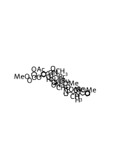 C#CCOc1cc(O[C@H]2C[C@@H](OC(C)=O)C[C@@H](C(=O)OC)O2)ccc1COC(=O)N(C)C(C(=O)N[C@H](C(=O)N(C)[C@@H](C(C)CC)[C@@H](CC(=O)N1CCCC1C(OC)C(C)C(=O)NC(Cc1ccccc1)C(=O)OC)OC)C(C)C)C(C)C